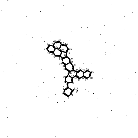 COc1ccccc1-c1ccc2c(c1)c1cc3ccccc3cc1c1cc3cc4c(cc3cc21)-c1cc2cccc3ccc5ccc-4c1c5c32